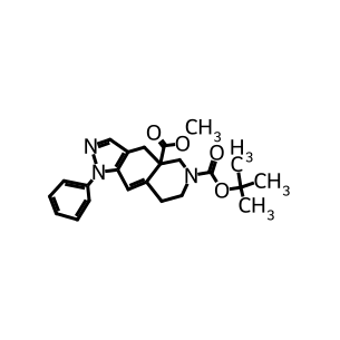 COC(=O)C12Cc3cnn(-c4ccccc4)c3C=C1CCN(C(=O)OC(C)(C)C)C2